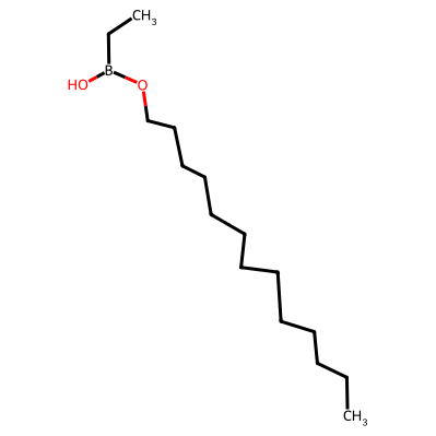 CCCCCCCCCCCCCOB(O)CC